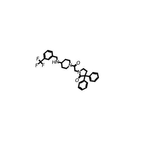 O=C(CN1CCC(c2ccccc2)(c2ccccc2)C1=O)N1CCC(NCc2cccc(C(F)(F)F)c2)CC1